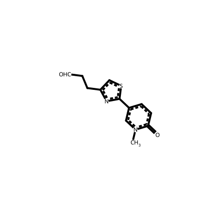 Cn1cc(-c2nc(CCC=O)cs2)ccc1=O